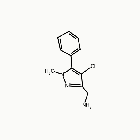 Cn1nc(CN)c(Cl)c1-c1ccccc1